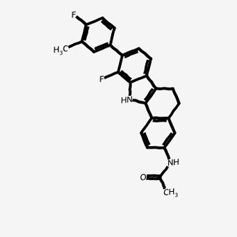 CC(=O)Nc1ccc2c(c1)CCc1c-2[nH]c2c(F)c(-c3ccc(F)c(C)c3)ccc12